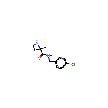 CC1(C(=O)NCc2ccc(Cl)cc2)CCN1